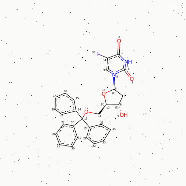 O=c1[nH]c(=O)n([C@H]2C[C@H](O)[C@@H](COC(c3ccccc3)(c3ccccc3)c3ccccc3)O2)cc1I